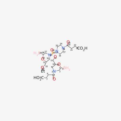 BC1CN(C(=O)CCC(=O)O)CC(COP(=O)(N2CCN(C(=O)CCC(=O)O)CC2)N2CC(B)OC(COCC)C2)O1